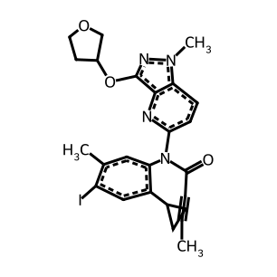 CC#CC(=O)N(c1ccc2c(n1)c(OC1CCOC1)nn2C)c1cc(C)c(I)cc1C1CC1